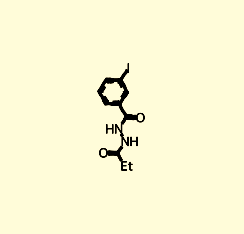 CCC(=O)NNC(=O)c1cccc(I)c1